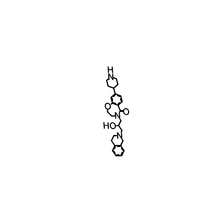 O=C1c2ccc(C3CCNCC3)cc2OCCN1CC(O)CN1CCc2ccccc2C1